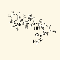 COC(=O)c1cc(F)ccc1NC(=O)N1C[C@H]2C[C@H](c3ccccc3C(F)(F)F)C[C@H]2C1